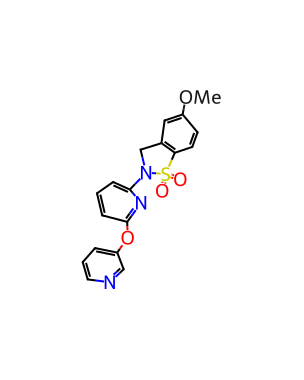 COc1ccc2c(c1)CN(c1cccc(Oc3cccnc3)n1)S2(=O)=O